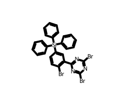 Brc1nc(Br)nc(-c2cc([Si](c3ccccc3)(c3ccccc3)c3ccccc3)ccc2Br)n1